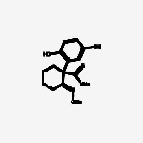 CNC(=S)C1(c2cc(O)ccc2O)CCCCC1=NOC